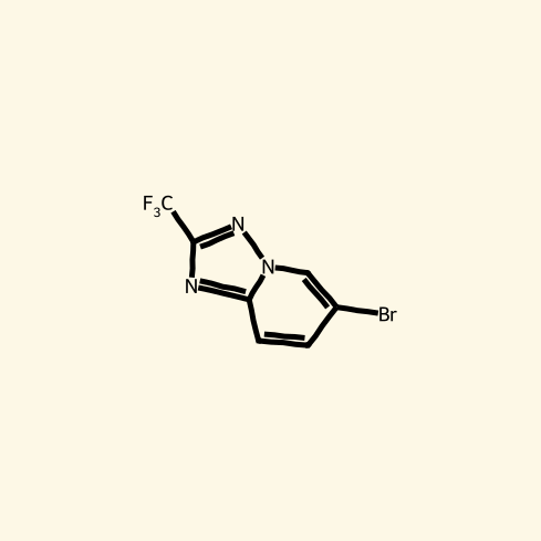 FC(F)(F)c1nc2ccc(Br)cn2n1